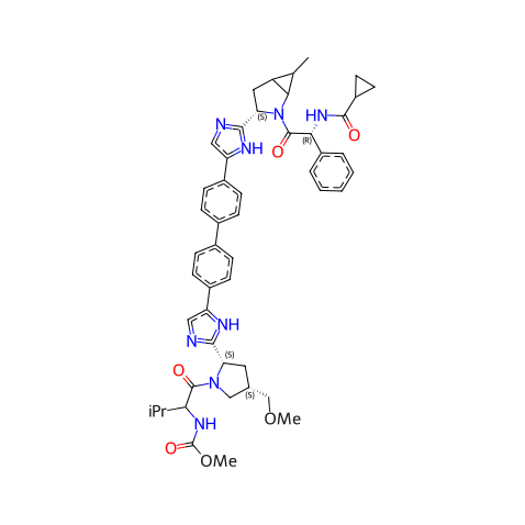 COC[C@H]1C[C@@H](c2ncc(-c3ccc(-c4ccc(-c5cnc([C@@H]6CC7C(C)C7N6C(=O)[C@H](NC(=O)C6CC6)c6ccccc6)[nH]5)cc4)cc3)[nH]2)N(C(=O)C(NC(=O)OC)C(C)C)C1